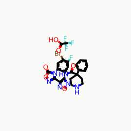 O=C(Nc1nonc1-c1noc(=O)n1-c1ccc(F)c(Br)c1)C1(c2ccccc2)CCNCC1.O=C(O)C(F)(F)F